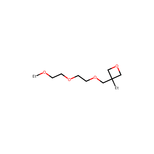 CCOCCOCCOCC1(CC)COC1